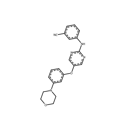 N#Cc1cccc(Nc2ncc(Oc3cccc(N4CCOCC4)c3)cn2)c1